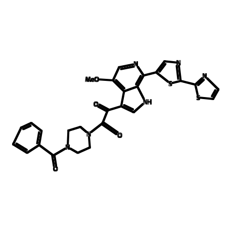 COc1cnc(-c2cnc(-c3nccs3)s2)c2[nH]cc(C(=O)C(=O)N3CCN(C(=O)c4ccccc4)CC3)c12